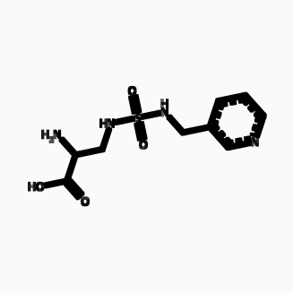 NC(CNS(=O)(=O)NCc1cccnc1)C(=O)O